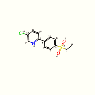 CCS(=O)(=O)c1ccc(-c2ccc(Cl)cn2)cc1